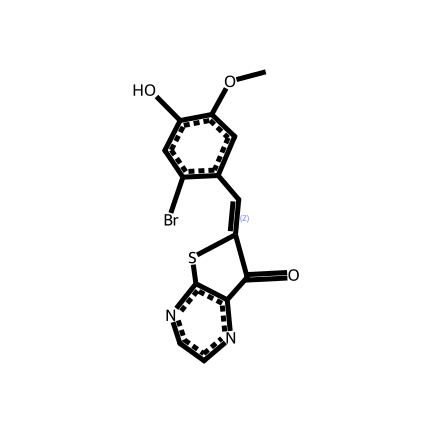 COc1cc(/C=C2\Sc3nccnc3C2=O)c(Br)cc1O